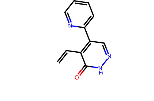 C=Cc1c(-c2ccccn2)cn[nH]c1=O